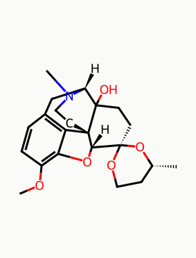 COc1ccc2c3c1O[C@H]1[C@]4(CCC5(O)[C@@H](C2)N(C)CC[C@]315)OCC[C@@H](C)O4